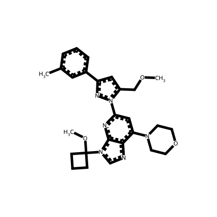 COCc1cc(-c2cccc(C)c2)nn1-c1cc(N2CCOCC2)c2ncn(C3(OC)CCC3)c2n1